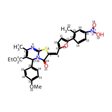 CCOC(=O)C1=C(C)N=c2s/c(=C\c3ccc(-c4ccc([N+](=O)O)cc4C)o3)c(=O)n2C1c1ccc(OC)cc1